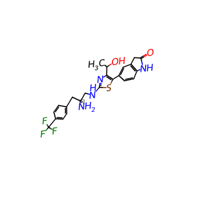 CC(O)c1nc(NC[C@@H](N)Cc2ccc(C(F)(F)F)cc2)sc1-c1ccc2c(c1)CC(=O)N2